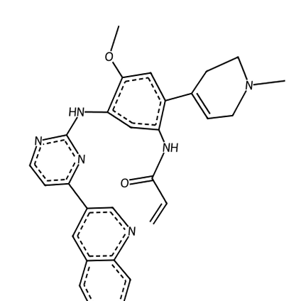 C=CC(=O)Nc1cc(Nc2nccc(-c3cnc4ccccc4c3)n2)c(OC)cc1C1=CCN(C)CC1